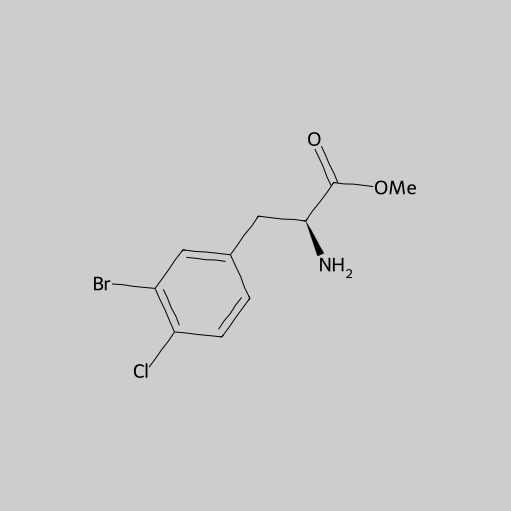 COC(=O)[C@@H](N)Cc1ccc(Cl)c(Br)c1